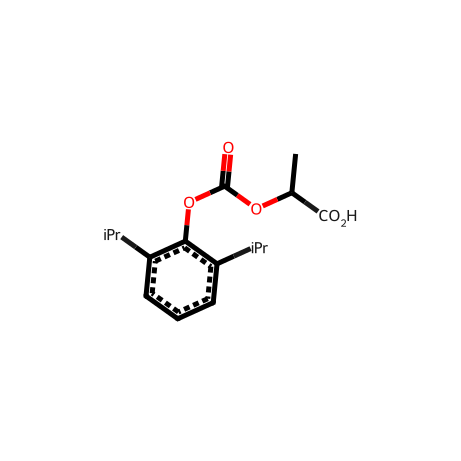 CC(OC(=O)Oc1c(C(C)C)cccc1C(C)C)C(=O)O